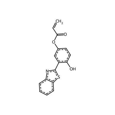 C=CC(=O)Oc1ccc(O)c(-c2nc3ccccc3s2)c1